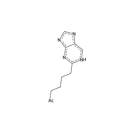 CC(=O)CCCCc1nc2ncnc-2c[nH]1